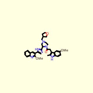 COc1ccc2[nH]c(C)c(CC(=O)N3CCN(CC4CCOC4)CC3c3ncc(-c4cc5ccccc5nc4OC)[nH]3)c2c1